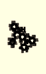 Cc1ccccc1N(c1ccccc1C)C1CCC(c2[nH]c3ccccc3c2CCN2CCCC2)CC1